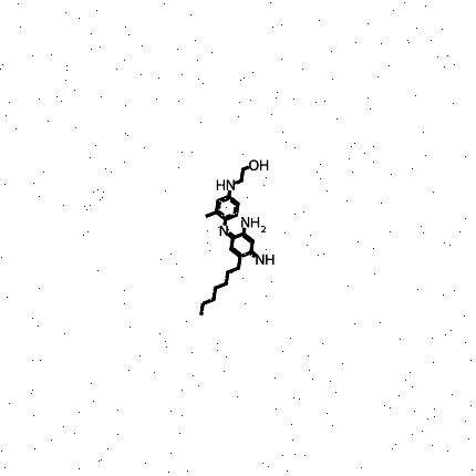 CCCCCCCC1=C/C(=N/c2ccc(NCCO)cc2C)C(N)=CC1=N